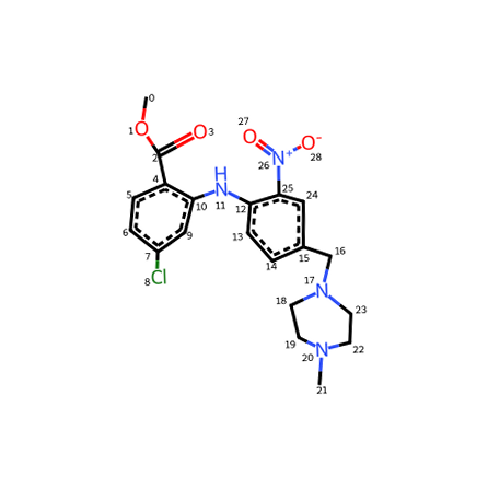 COC(=O)c1ccc(Cl)cc1Nc1ccc(CN2CCN(C)CC2)cc1[N+](=O)[O-]